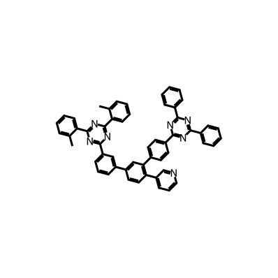 Cc1ccccc1-c1nc(-c2cccc(-c3ccc(-c4cccnc4)c(-c4ccc(-c5nc(-c6ccccc6)nc(-c6ccccc6)n5)cc4)c3)c2)nc(-c2ccccc2C)n1